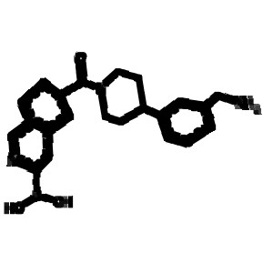 NCc1cccc(C2CCN(C(=O)c3ccc4cnc(B(O)O)cc4c3)CC2)c1